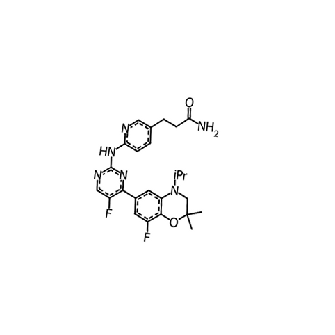 CC(C)N1CC(C)(C)Oc2c(F)cc(-c3nc(Nc4ccc(CCC(N)=O)cn4)ncc3F)cc21